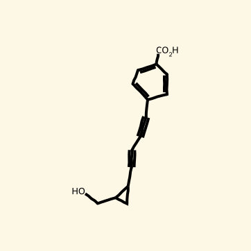 O=C(O)c1ccc(C#CC#CC2CC2CO)cc1